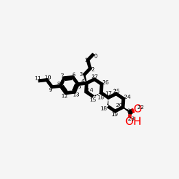 CCCC[C@]1(c2ccc(CCC)cc2)CC[C@@H]([C@H]2CC[C@H](C(=O)O)CC2)CC1